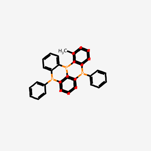 Cc1ccccc1P(c1ccccc1P(c1ccccc1)c1ccccc1)c1ccccc1P(c1ccccc1)c1ccccc1